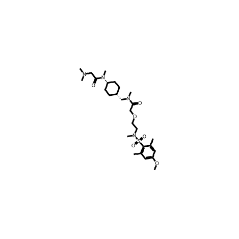 COc1cc(C)c(S(=O)(=O)N(C)CCOCC(=O)N(C)C[C@H]2CC[C@@H](N(C)C(=O)CN(C)C)CC2)c(C)c1